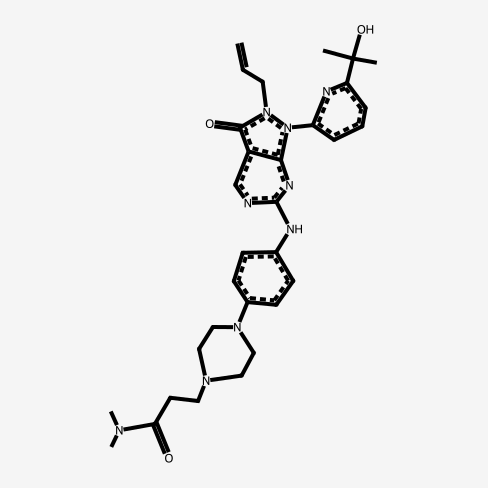 C=CCn1c(=O)c2cnc(Nc3ccc(N4CCN(CCC(=O)N(C)C)CC4)cc3)nc2n1-c1cccc(C(C)(C)O)n1